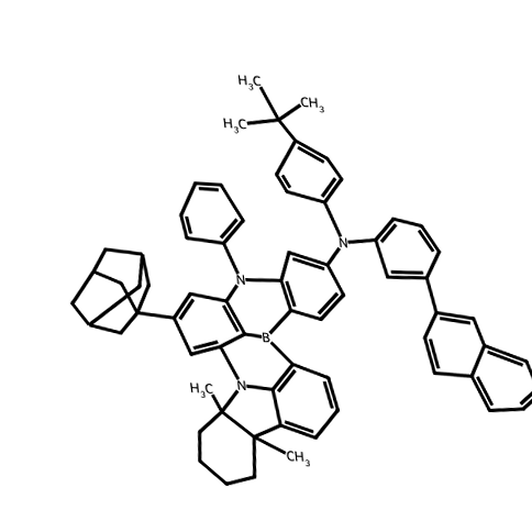 CC(C)(C)c1ccc(N(c2cccc(-c3ccc4ccccc4c3)c2)c2ccc3c(c2)N(c2ccccc2)c2cc(C45CC6CC(CC(C6)C4)C5)cc4c2B3c2cccc3c2N4C2(C)CCCCC32C)cc1